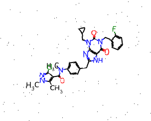 Cc1c(C(=O)N(C)c2ccc(Cc3nc4c([nH]3)c(=O)n(Cc3ccccc3F)c(=O)n4CC3CC3)cc2)c(Cl)nn1C